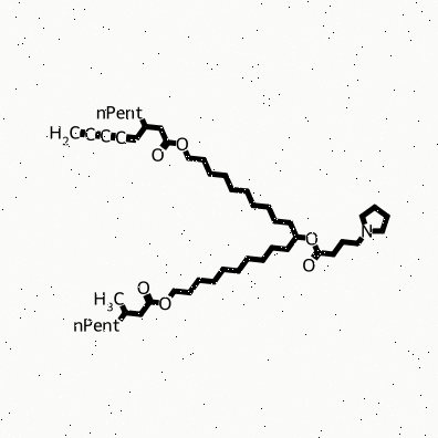 C=C=C=C=CC(CCCCC)CC(=O)OCCCCCCCCCCC(CCCCCCCCCCOC(=O)CC(C)CCCCC)OC(=O)CCCN1CCCC1